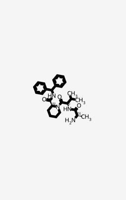 CC(C)[C@H](NC(=O)[C@H](C)N)C(=O)N1CCCC[C@H]1C(=O)NC(c1ccccc1)c1ccccc1